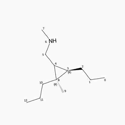 CCC[C@@H]1C(CNC)[C@]1(C)CCC